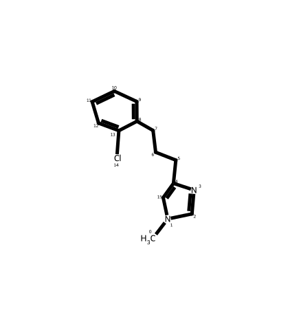 Cn1cnc(CCCc2ccccc2Cl)c1